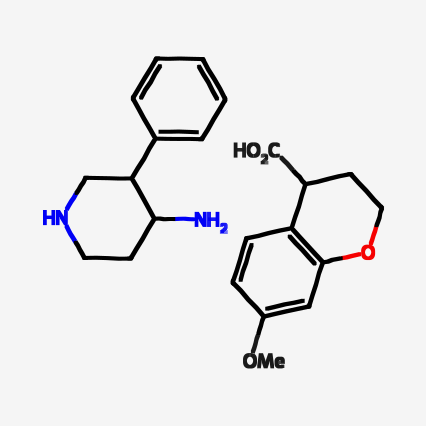 COc1ccc2c(c1)OCCC2C(=O)O.NC1CCNCC1c1ccccc1